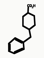 O=C(O)C1CCC(Cc2ccccc2)CC1